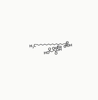 CCCCCCCCCCCC[CH]([Na])CCCS(=O)(=O)O.O=C(O)CC(O)C(=O)O